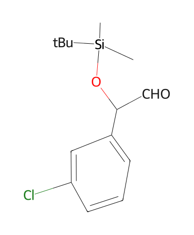 CC(C)(C)[Si](C)(C)OC(C=O)c1cccc(Cl)c1